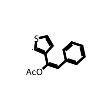 CC(=O)OC(=Cc1ccccc1)c1[c]scc1